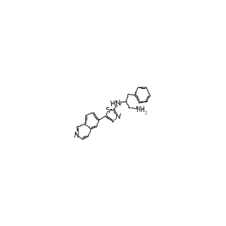 NCC(Cc1ccccc1)Nc1ncc(-c2ccc3cnccc3c2)s1